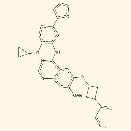 C=CC(=O)N1CC(Oc2cc3c(Nc4cc(-c5ccco5)ccc4OC4CC4)ncnc3cc2OC)C1